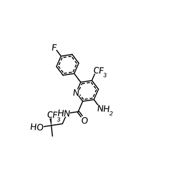 C[C@](O)(CNC(=O)c1nc(-c2ccc(F)cc2)c(C(F)(F)F)cc1N)C(F)(F)F